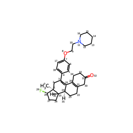 C[C@]12CC(c3ccc(OCCN4CCCCC4)cc3)=C3C4=C(CC[C@H]3[C@@H]1CC[C@H]2F)CC(=O)CC4